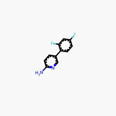 Nc1ccc(-c2ccc(F)cc2F)cn1